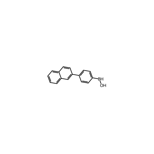 OBc1ccc(-c2ccc3ccccc3c2)cc1